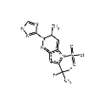 CCS(=O)(=O)n1c(C(F)(F)C(F)(F)F)nc2c1=CC(C)N(C1=N[N]C=N1)N=2